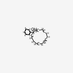 OC1(c2ccccc2)CCCCCCCCCCCCCC1